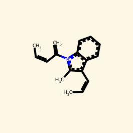 C=C(/C=C\C)n1c(C)c(/C=C\C)c2ccccc21